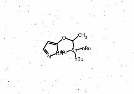 CCC[CH2][Sn]([CH2]CCC)([CH2]CCC)[CH](C)Oc1ccn[nH]1